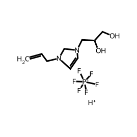 C=CCN1C=CN(CC(O)CO)C1.F[P-](F)(F)(F)(F)F.[H+]